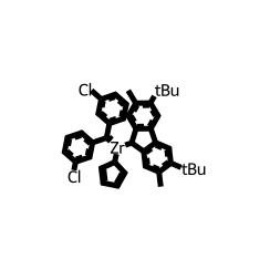 Cc1cc2c(cc1C(C)(C)C)-c1cc(C(C)(C)C)c(C)cc1[CH]2[Zr](=[C](c1cccc(Cl)c1)c1cccc(Cl)c1)[CH]1C=CC=C1